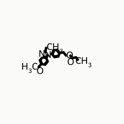 CCC(=O)OCCc1ccc(-n2c(CC)nc3cc(C(C)=O)ccc32)cc1